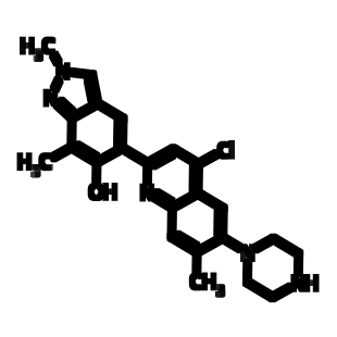 Cc1cc2nc(-c3cc4cn(C)nc4c(C)c3O)cc(Cl)c2cc1N1CCNCC1